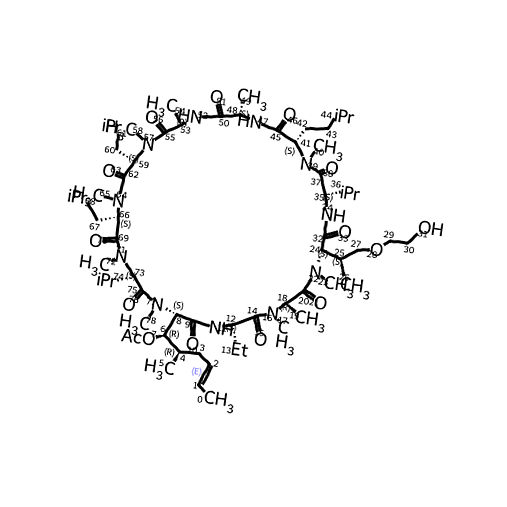 C/C=C/C[C@@H](C)[C@@H](OC(C)=O)[C@H]1C(=O)N[C@@H](CC)C(=O)N(C)[C@H](C)C(=O)N(C)[C@@H]([C@H](C)COCCO)C(=O)N[C@@H](C(C)C)C(=O)N(C)[C@@H](CCC(C)C)C(=O)N[C@@H](C)C(=O)N[C@H](C)C(=O)N(C)[C@@H](CC(C)C)C(=O)N(C)[C@@H](CC(C)C)C(=O)N(C)[C@@H](C(C)C)C(=O)N1C